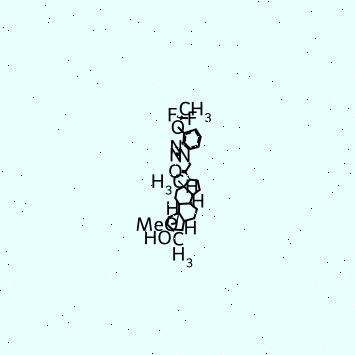 COC[C@]12CC[C@@](C)(O)C[C@@H]1CC[C@H]1[C@@H]3CC[C@H](C(=O)Cn4nnc5c(OC(C)(F)F)cccc54)[C@@]3(C)CC[C@@H]12